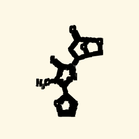 Cn1c(-c2ccco2)nn(C2CC(=O)C3OCC2O3)c1=S